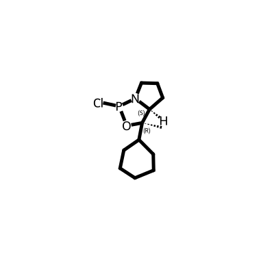 C[C@]1(C2CCCCC2)OP(Cl)N2CCC[C@H]21